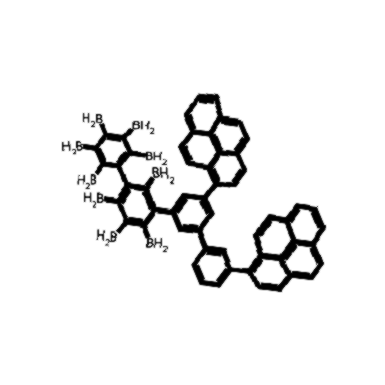 Bc1c(B)c(B)c(-c2c(B)c(B)c(B)c(-c3cc(-c4cccc(-c5ccc6ccc7cccc8ccc5c6c78)c4)cc(-c4ccc5ccc6cccc7ccc4c5c67)c3)c2B)c(B)c1B